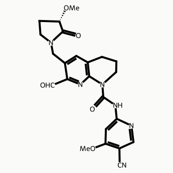 COc1cc(NC(=O)N2CCCc3cc(CN4CC[C@H](OC)C4=O)c(C=O)nc32)ncc1C#N